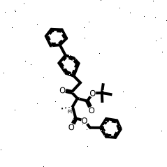 C[C@@H](C(=O)OCc1ccccc1)C(C(=O)Cc1ccc(-c2ccccc2)cc1)C(=O)OC(C)(C)C